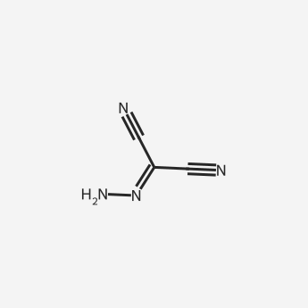 N#CC(C#N)=NN